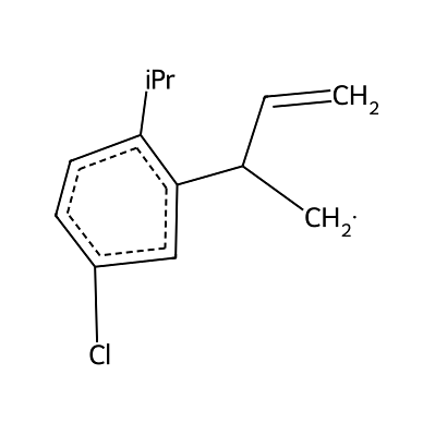 [CH2]C(C=C)c1cc(Cl)ccc1C(C)C